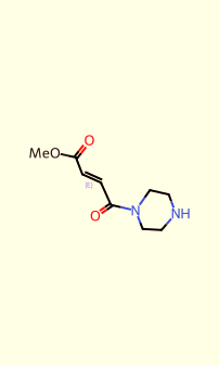 COC(=O)/C=C/C(=O)N1CCNCC1